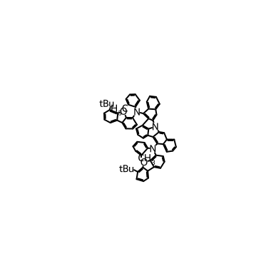 Cc1ccccc1N(c1cccc2c1oc1c(C(C)(C)C)cccc12)c1c2ccccc2cc2c1c1cccc3c4c(N(c5ccccc5C)c5cccc6c5oc5c(C(C)(C)C)cccc56)c5ccccc5cc4n2c13